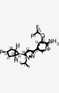 CC(C)n1nc(-c2cnc(N)c(OC(F)F)c2)cc1[C@H]1[C@@H]2C[C@@H](F)C[C@@H]21